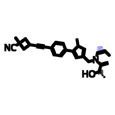 C=C([C@H](C)O)N(/C=C\C)CC1=CC(C)C(c2ccc(C#CC3CC(C)(C#N)C3)cc2)=C1